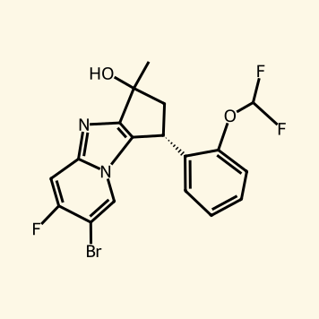 CC1(O)C[C@H](c2ccccc2OC(F)F)c2c1nc1cc(F)c(Br)cn21